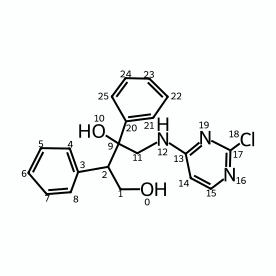 OCC(c1ccccc1)C(O)(CNc1ccnc(Cl)n1)c1ccccc1